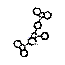 C=c1/c(=C\C(=C/N)n2c3c(c4ccccc42)CCC=C3)nc(-c2ccc(-n3c4c(c5c3C=CCC5)CCC=C4)cc2)n1-c1ccccc1